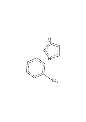 O=[N+]([O-])c1ccccc1.c1c[nH]cn1